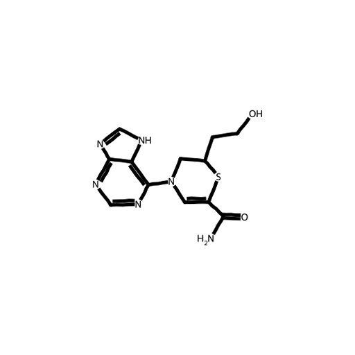 NC(=O)C1=CN(c2ncnc3nc[nH]c23)CC(CCO)S1